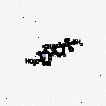 C/C(=N/C(=N)C(=O)O)Nc1ncc(S(N)(=O)=O)cn1